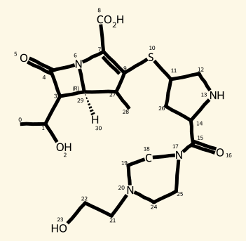 CC(O)C1C(=O)N2C(C(=O)O)=C(SC3CNC(C(=O)N4CCN(CCO)CC4)C3)C(C)[C@@H]12